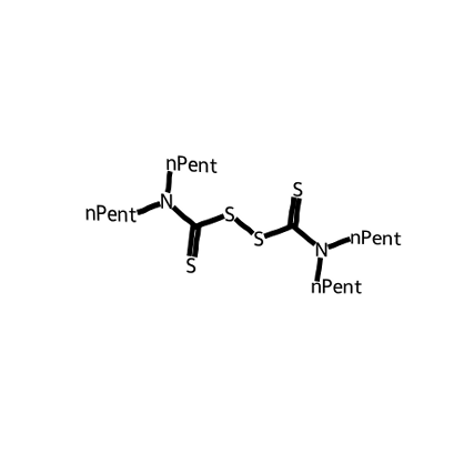 CCCCCN(CCCCC)C(=S)SSC(=S)N(CCCCC)CCCCC